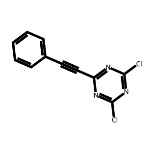 Clc1nc(Cl)nc(C#Cc2ccccc2)n1